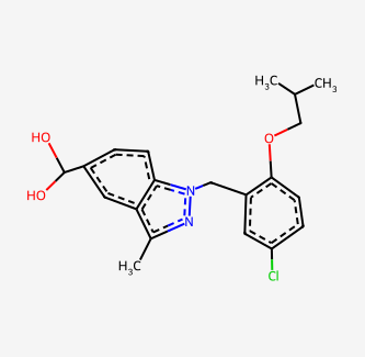 Cc1nn(Cc2cc(Cl)ccc2OCC(C)C)c2ccc(C(O)O)cc12